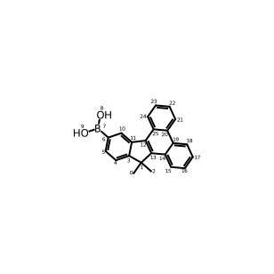 CC1(C)c2ccc(B(O)O)cc2-c2c1c1ccccc1c1ccccc21